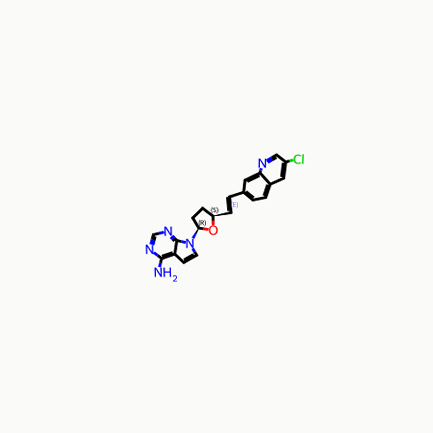 Nc1ncnc2c1ccn2[C@H]1CC[C@@H](/C=C/c2ccc3cc(Cl)cnc3c2)O1